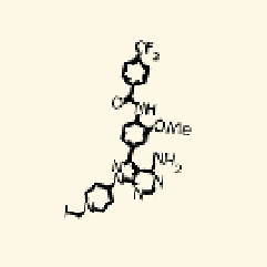 COc1cc(-c2nn(C3CCN(CI)CC3)c3ncnc(N)c23)ccc1NC(=O)c1ccc(C(F)(F)F)cc1